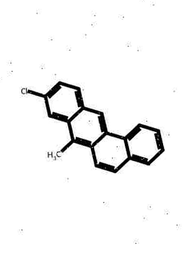 Cc1c2cc(Cl)ccc2cc2c1ccc1ccccc12